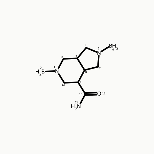 BN1CC2CN(B)CC2C(C(N)=O)C1